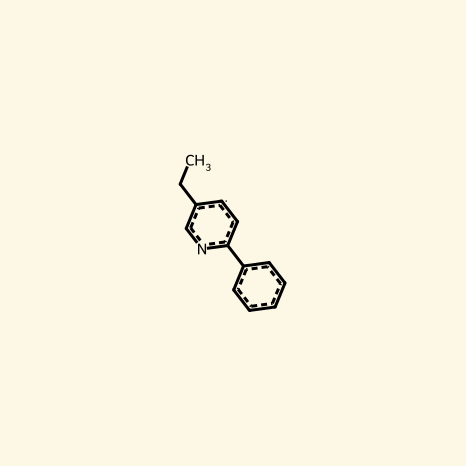 CCc1[c]cc(-c2ccccc2)nc1